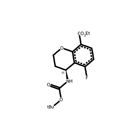 CCOC(=O)c1ccc(F)c2c1OCC[C@@H]2NC(=O)OC(C)(C)C